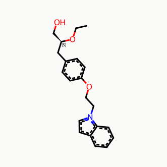 CCO[C@H](CO)Cc1ccc(OCCn2ccc3ccccc32)cc1